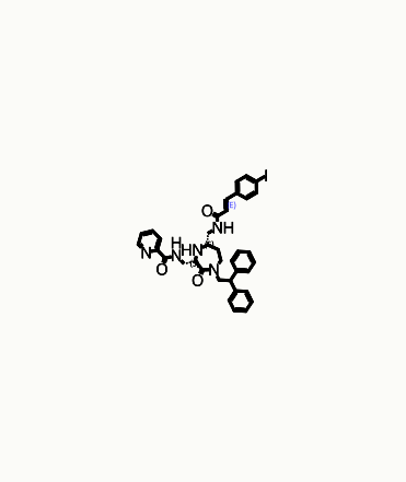 O=C(/C=C/c1ccc(I)cc1)NC[C@@H]1CCN(CC(c2ccccc2)c2ccccc2)C(=O)[C@H](CNC(=O)c2ccccn2)N1